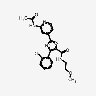 COCCNC(=O)c1sc(-c2ccnc(NC(C)=O)c2)nc1-c1ccccc1Cl